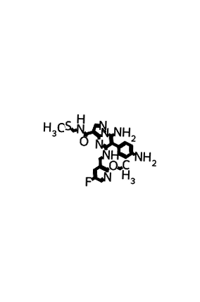 CCOc1ncc(F)cc1CNc1nc2c(C(=O)NCSC)cnn2c(N)c1-c1ccc(N)cc1